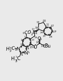 CCOC(=O)c1cc2c(nc(C)n2C)c(OC(=O)C(C)(C)C)c1CC=C1CCc2ccccc21